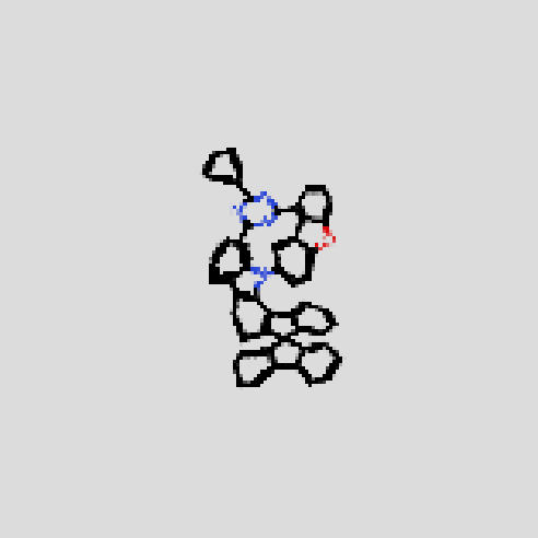 c1ccc(-c2nc(-c3ccccc3)nc(-c3cccc4oc5ccc(-n6c7ccccc7c7ccc8c(c76)-c6ccccc6C86c7ccccc7-c7ccccc76)cc5c34)n2)cc1